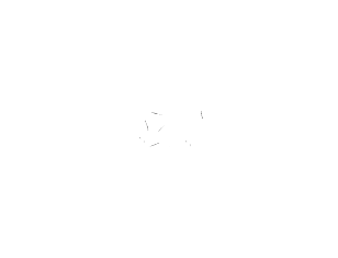 CCC(CC)n1cc2c3c(cccc31)[C@H]1CC(C(=O)O)CN(C)[C@@H]1C2